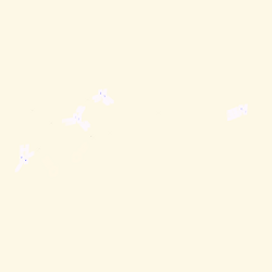 CNC(=O)c1c(C)ccc2nc(Cc3cccc(C#N)c3F)c(F)c(=O)n12